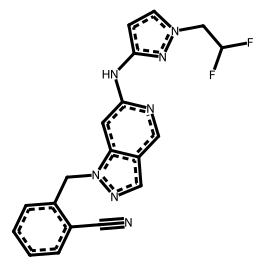 N#Cc1ccccc1Cn1ncc2cnc(Nc3ccn(CC(F)F)n3)cc21